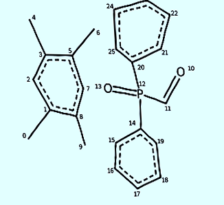 Cc1cc(C)c(C)cc1C.O=CP(=O)(c1ccccc1)c1ccccc1